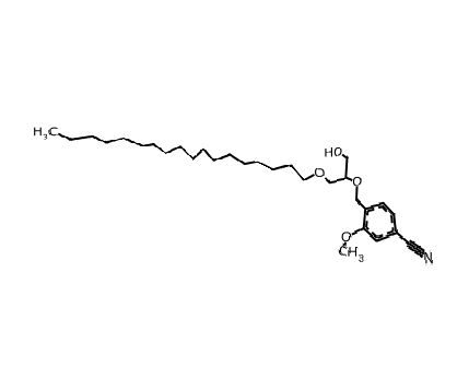 CCCCCCCCCCCCCCCCCCOCC(CO)OCc1ccc(C#N)cc1OC